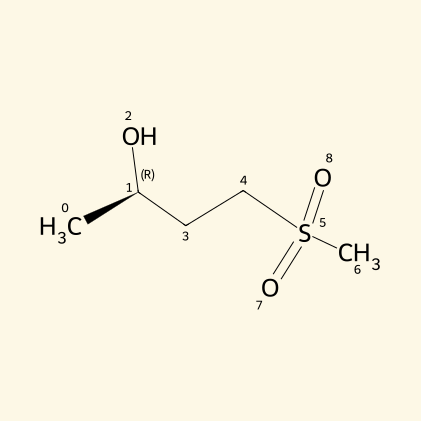 C[C@@H](O)CCS(C)(=O)=O